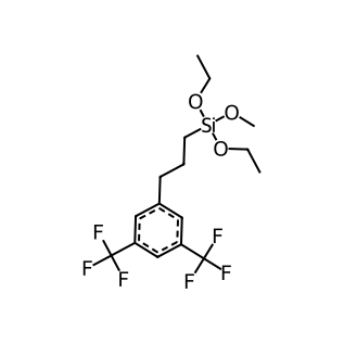 CCO[Si](CCCc1cc(C(F)(F)F)cc(C(F)(F)F)c1)(OC)OCC